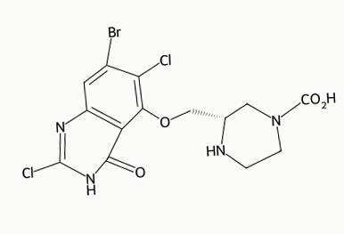 O=C(O)N1CCN[C@H](COc2c(Cl)c(Br)cc3nc(Cl)[nH]c(=O)c23)C1